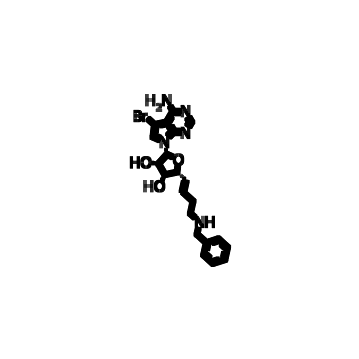 Nc1ncnc2c1c(Br)cn2[C@@H]1O[C@H](/C=C/CCNCc2ccccc2)[C@@H](O)[C@H]1O